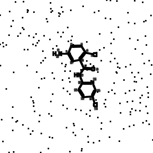 Nc1ccc(Cl)c(C(=O)Nc2ccc(Cl)cn2)c1